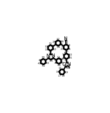 N#Cc1ccc(-c2ccc(-c3nnc(-c4ccccc4)o3)cc2)cc1-c1cccc(-c2cccc(-c3nc(-c4ccccc4)cc(-c4ccccc4)n3)c2)c1